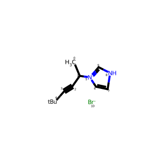 CC(C#CC(C)(C)C)[n+]1cc[nH]c1.[Br-]